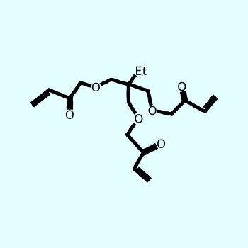 C=CC(=O)COCC(CC)(COCC(=O)C=C)COCC(=O)C=C